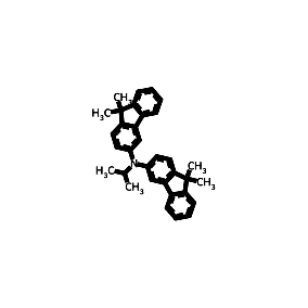 CC(C)N(c1ccc2c(c1)-c1ccccc1C2(C)C)c1ccc2c(c1)-c1ccccc1C2(C)C